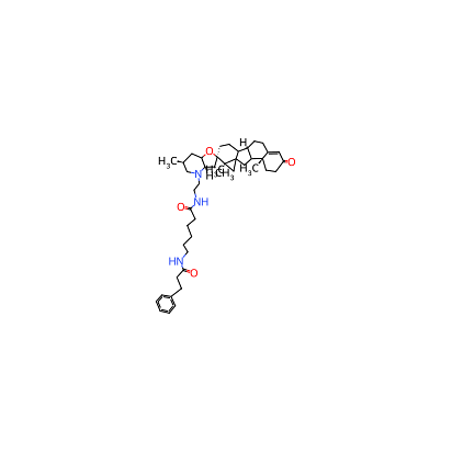 C[C@H]1CC2O[C@]3(CCC4[C@@H]5CCC6=CC(=O)CC[C@]6(C)C5CC45CC53C)[C@H](C)[C@@H]2N(CCNC(=O)CCCCCNC(=O)CCc2ccccc2)C1